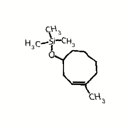 CC1=CCC(O[Si](C)(C)C)CCCC1